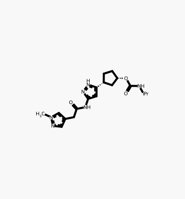 CC(C)NC(=O)O[C@H]1CC[C@@H](c2cc(NC(=O)Cc3cnn(C)c3)n[nH]2)C1